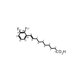 O=C(O)CCCCCCCC=Cc1cccc(F)c1F